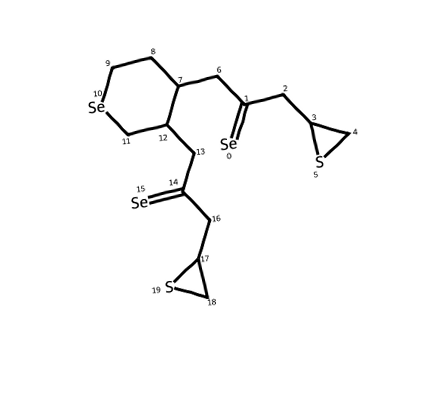 [Se]=C(CC1CS1)CC1CC[Se]CC1CC(=[Se])CC1CS1